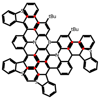 CC(C)(C)c1cc2c(cc1-c1ccccc1)N(c1c(-c3cccc4sc5ccccc5c34)cccc1-c1cccc3sc4ccccc4c13)c1cc(-c3ccccc3)cc3c1B2c1cc(C(C)(C)C)c(-c2ccccc2)cc1N3c1c(C2=CC=CC3Sc4ccccc4C23)cccc1C1C=CC=C2Sc3ccccc3C21